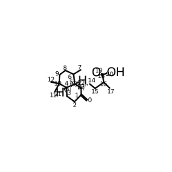 C=C1CC[C@H]2[C@H](C(C)CCC2(C)C)[C@@H]1CCC(C)C(=O)O